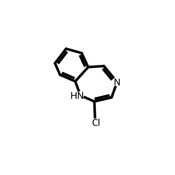 ClC1=CN=Cc2ccccc2N1